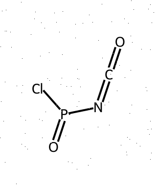 O=C=N[P](=O)Cl